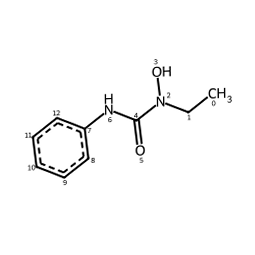 CCN(O)C(=O)Nc1ccccc1